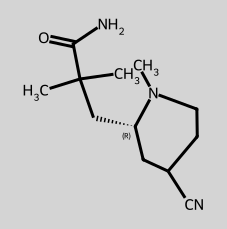 CN1CCC(C#N)C[C@@H]1CC(C)(C)C(N)=O